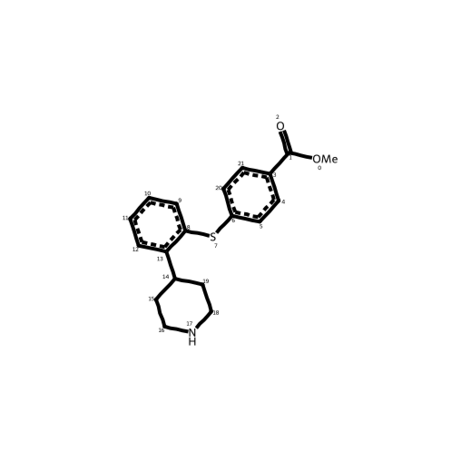 COC(=O)c1ccc(Sc2ccccc2C2CCNCC2)cc1